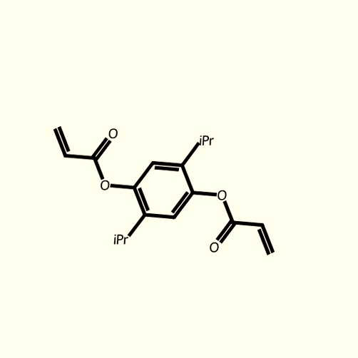 C=CC(=O)Oc1cc(C(C)C)c(OC(=O)C=C)cc1C(C)C